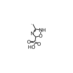 [CH2]C1=NC(S(=O)(=O)O)ON1